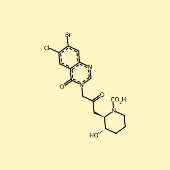 O=C(C[C@@H]1[C@@H](O)CCCN1C(=O)O)Cn1cnc2cc(Br)c(Cl)cc2c1=O